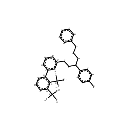 Fc1ccc([C](CCCc2ccccc2)CCc2cccc(-c3cccc(C(F)(F)F)c3C(F)(F)F)c2)cc1